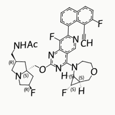 C#Cc1c(F)ccc2cccc(-c3ncc4c(N5CCOC[C@H]6[C@H](F)[C@H]65)nc(OC[C@]56C[C@@H](F)CN5C[C@@H](CNC(C)=O)C6)nc4c3F)c12